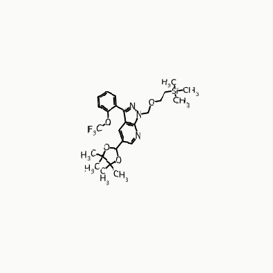 CC1(C)OC(c2cnc3c(c2)c(-c2ccccc2OC(F)(F)F)nn3COCC[Si](C)(C)C)OC1(C)C